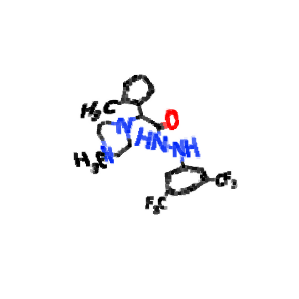 Cc1ccccc1C(C(=O)NNc1cc(C(F)(F)F)cc(C(F)(F)F)c1)N1CCN(C)CC1